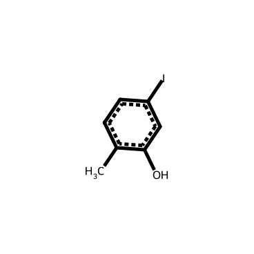 Cc1ccc(I)cc1O